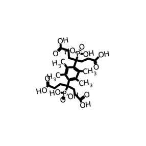 Cc1c(C)c(C(CCC(=O)O)(CCC(=O)O)P(=O)(O)O)c(C)c(C)c1C(CCC(=O)O)(CCC(=O)O)P(=O)(O)O